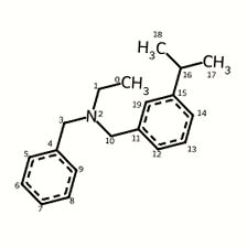 CCN(Cc1ccccc1)Cc1cccc(C(C)C)c1